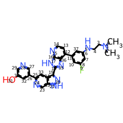 CN(C)CCNc1cc(F)cc(-c2ccnc3[nH]c(-c4n[nH]c5cnc(-c6cncc(O)c6)cc45)nc23)c1